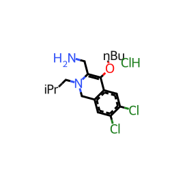 CCCCOC1=C(CN)N(CC(C)C)Cc2cc(Cl)c(Cl)cc21.Cl